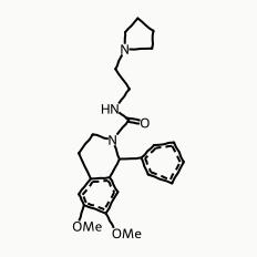 COc1cc2c(cc1OC)C(c1ccccc1)N(C(=O)NCCN1CCCC1)CC2